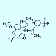 COc1cc2nc(C)nc(NC3C(c4cc(C(F)(F)F)ccn4)[C@H]3C)c2cc1OC(C)[C@@H]1CCOC1